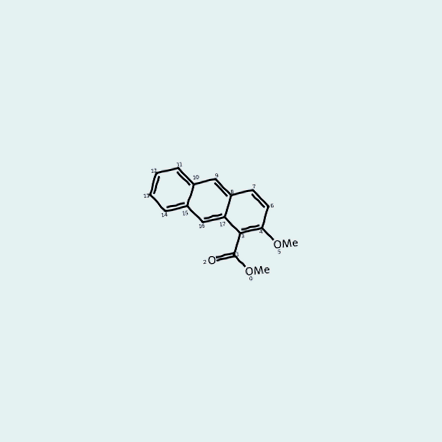 COC(=O)c1c(OC)ccc2cc3ccccc3cc12